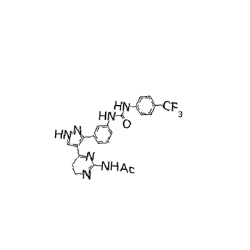 CC(=O)NC1=NCCC(c2c[nH]nc2-c2cccc(NC(=O)Nc3ccc(C(F)(F)F)cc3)c2)=N1